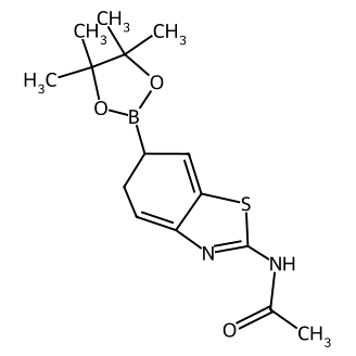 CC(=O)Nc1nc2c(s1)=CC(B1OC(C)(C)C(C)(C)O1)CC=2